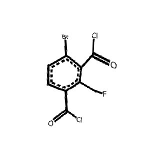 O=C(Cl)c1ccc(Br)c(C(=O)Cl)c1F